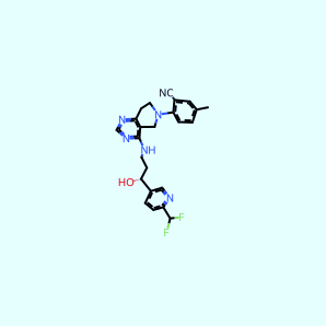 Cc1ccc(N2CCc3ncnc(NCC[C@@H](O)c4ccc(C(F)F)nc4)c3C2)c(C#N)c1